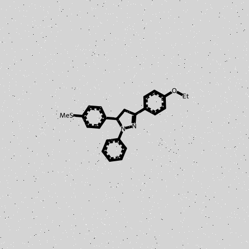 CCOc1ccc(C2=NN(c3ccccc3)C(c3ccc(SC)cc3)C2)cc1